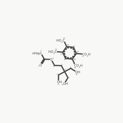 CCCCCCCC(=O)OCCC(CO)(CO)CO.O=C(O)c1cc(C(=O)O)c(C(=O)O)cc1C(=O)O